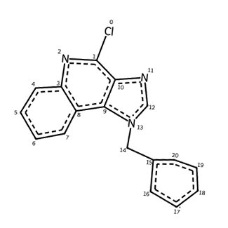 Clc1nc2ccccc2c2c1ncn2Cc1c[c]ccc1